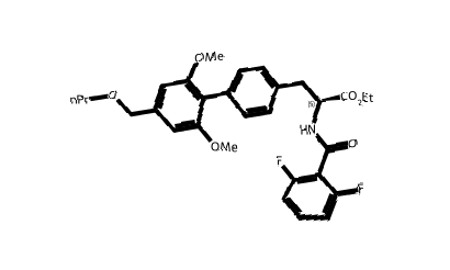 CCCOCc1cc(OC)c(-c2ccc(C[C@H](NC(=O)c3c(F)cccc3F)C(=O)OCC)cc2)c(OC)c1